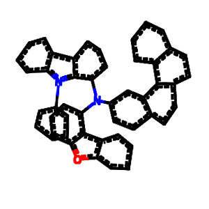 c1ccc(-n2c3ccccc3c3cccc(N(c4ccc5ccc6ccc7ccccc7c6c5c4)c4cccc5oc6ccccc6c45)c32)cc1